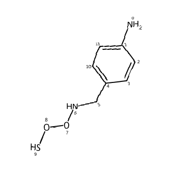 Nc1ccc(CNOOS)cc1